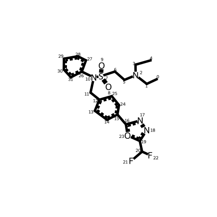 CCN(CC)CCS(=O)(=O)N(Cc1ccc(-c2nnc(C(F)F)o2)cc1)c1ccccc1